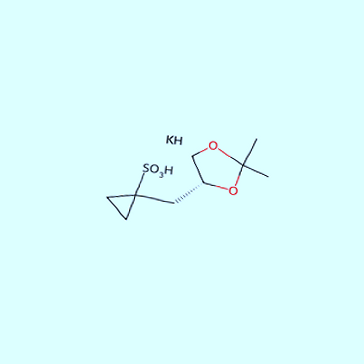 CC1(C)OC[C@@H](CC2(S(=O)(=O)O)CC2)O1.[KH]